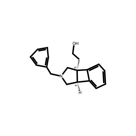 OCC[C@@]12CN(Cc3ccccc3)C[C@@H]1c1ccccc12